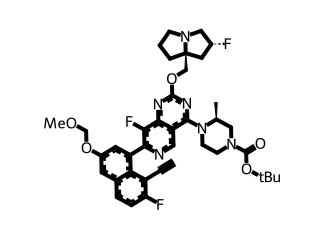 C#Cc1c(F)ccc2cc(OCOC)cc(-c3ncc4c(N5CCN(C(=O)OC(C)(C)C)C[C@@H]5C)nc(OC[C@@]56CCCN5C[C@H](F)C6)nc4c3F)c12